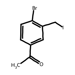 CC(=O)c1ccc(Br)c(CI)c1